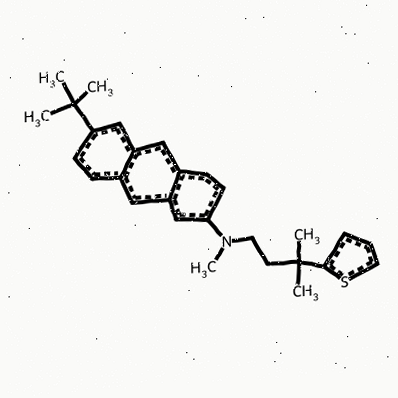 CN(CCC(C)(C)c1cccs1)c1ccc2cc3cc(C(C)(C)C)ccc3cc2c1